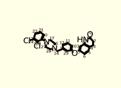 O=C1CCc2ccc(Oc3cccc(CN4CCN(c5cccc(Cl)c5Cl)CC4)c3)cc2N1